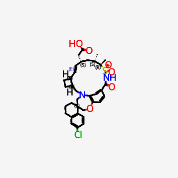 C[C@@H]1[C@@H](C)C[C@@H](CC(=O)O)/C=C/[C@@H]2CC[C@H]2CN2C[C@@]3(CCCc4cc(Cl)ccc43)COc3ccc(cc32)C(=O)NS1(=O)=O